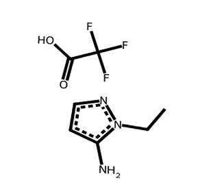 CCn1nccc1N.O=C(O)C(F)(F)F